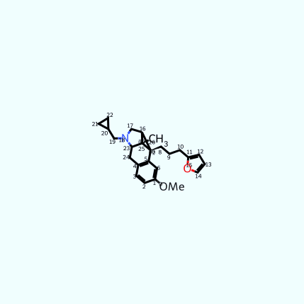 COc1ccc2c(c1)[C@@]1(CCCc3ccco3)C3CN(CC4CC4)C(C2)[C@]31C